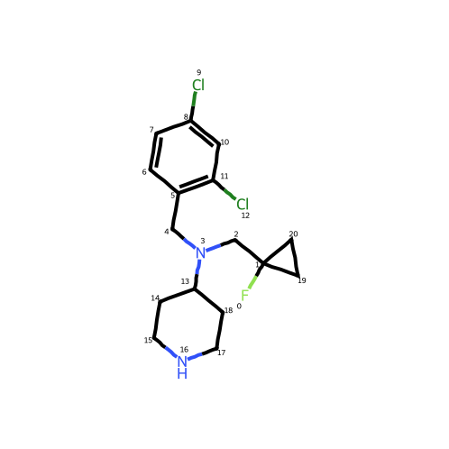 FC1(CN(Cc2ccc(Cl)cc2Cl)C2CCNCC2)CC1